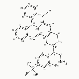 NCC(c1ccc(C(F)(F)F)cc1F)N1CCC2=C(C1)C(=O)C(C(c1ccccc1)c1ccccc1)C(CI)=N2